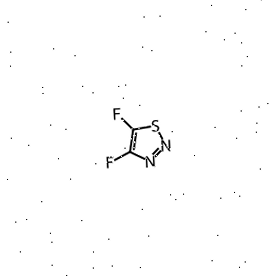 Fc1nnsc1F